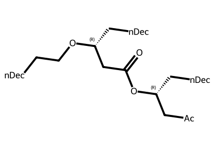 CCCCCCCCCCCCO[C@H](CCCCCCCCCCC)CC(=O)O[C@H](CCCCCCCCCCC)CC(C)=O